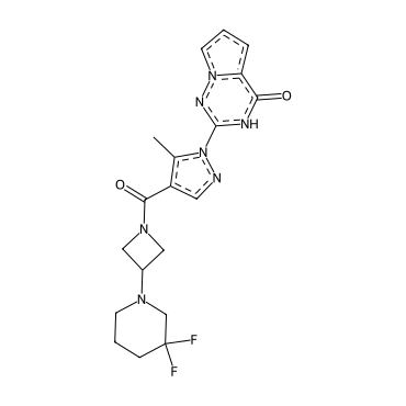 Cc1c(C(=O)N2CC(N3CCCC(F)(F)C3)C2)cnn1-c1nn2cccc2c(=O)[nH]1